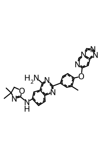 Cc1cc(-c2nc(N)c3cc(NC4=NC(C)(C)CO4)ccc3n2)ccc1Oc1cc2nncn2cn1